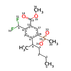 CCCCC(C)c1cc(C(F)F)c(C(=O)OC)cc1S(C)(=O)=O